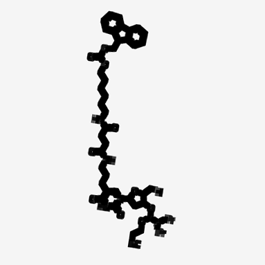 [2H]CC1OC(n2cc(CCCNC(=O)CCC(=O)NCCCCCCOC(=O)OCC3c4ccccc4-c4ccccc43)c(=O)[nH]c2=O)CC1OP(OCC[N+]#[C-])N(C(C)C)C(C)C